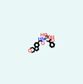 O=C(Cc1ccc2c(c1)C=CC21CCOCC1)N[C@@H](Cc1coc2ccccc12)B(O)O